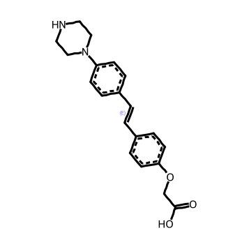 O=C(O)COc1ccc(/C=C/c2ccc(N3CCNCC3)cc2)cc1